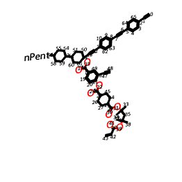 C#Cc1ccc(C#Cc2ccc(C#CC3(OC(=O)c4ccc(OC(=O)C5CCC(C(=O)OC(C)(C)CC(C)(C)OC(=O)C=C)CC5)c(C#C)c4)CCC(C4CCC(CCCCC)CC4)CC3)cc2)cc1